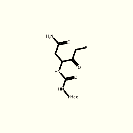 CCCCCCNC(=O)NC(CC(N)=O)C(=O)CF